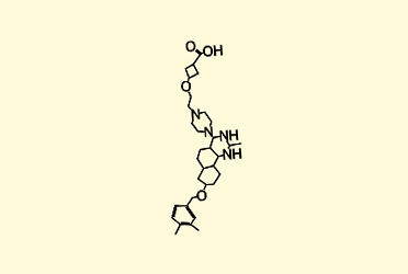 Cc1ccc(COC2CCC3C(CCC4C3NC(C)NC4N3CCN(CCOC4CC(C(=O)O)C4)CC3)C2)cc1C